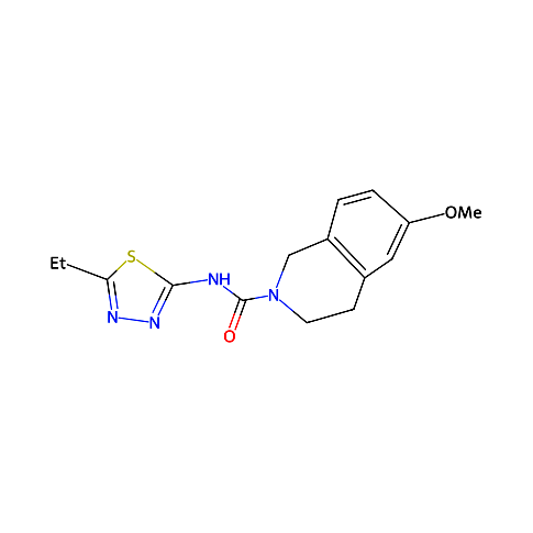 CCc1nnc(NC(=O)N2CCc3cc(OC)ccc3C2)s1